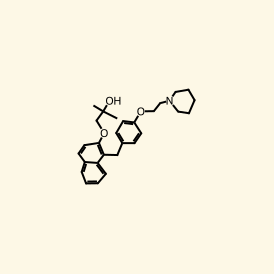 CC(C)(O)COc1ccc2ccccc2c1Cc1ccc(OCCN2CCCCC2)cc1